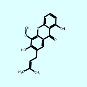 COc1c(O)c(CC=C(C)C)cc2c(=O)c3c(O)cccc3oc12